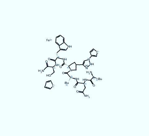 CC[C@H](C)[C@H](N)C(=O)N[C@@H](CC(N)=O)C(=O)N[C@H](C(=O)N1CC(C2=CN(c3cc[cH-]c3)NN2)C[C@H]1C(=O)N[C@@H](Cc1c[nH]c2ccccc12)C(=O)N[C@@H](CO)C(N)=O)[C@@H](C)CC.[Fe+2].c1cc[cH-]c1